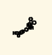 O=C(O)N1CCN(c2ccc(Nc3ncc4c(n3)C3(CCCCC3)c3ccccc3-4)cc2)CC1